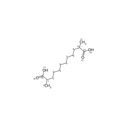 CC(CCCCCCCCC(C)C(=O)O)C(=O)O